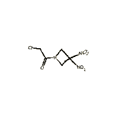 O=C(CCl)N1CC([N+](=O)[O-])([N+](=O)[O-])C1